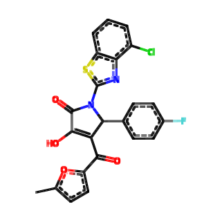 Cc1ccc(C(=O)C2=C(O)C(=O)N(c3nc4c(Cl)cccc4s3)C2c2ccc(F)cc2)o1